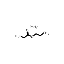 CCCOC(=O)CC.[PbH2]